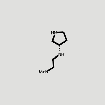 [CH2-][NH2+]CCN[C@H]1CCNC1